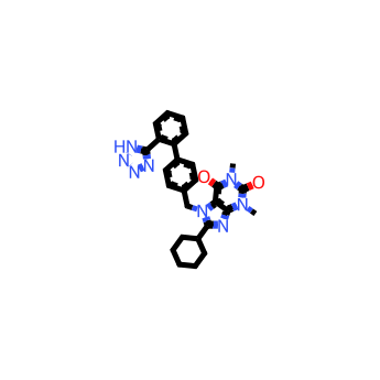 Cn1c(=O)c2c(nc(C3CCCCC3)n2Cc2ccc(-c3ccccc3-c3nnn[nH]3)cc2)n(C)c1=O